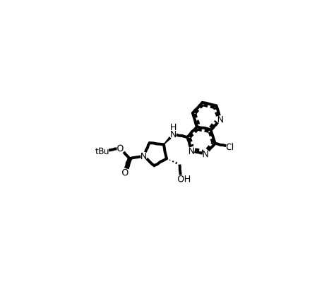 CC(C)(C)OC(=O)N1C[C@@H](CO)[C@H](Nc2nnc(Cl)c3ncccc23)C1